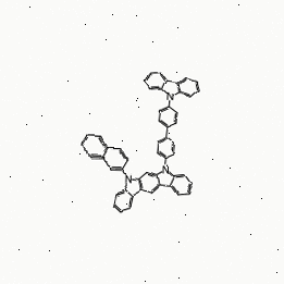 c1ccc2cc(-n3c4ccccc4c4cc5c6ccccc6n(-c6ccc(-c7ccc(-n8c9ccccc9c9ccccc98)cc7)cc6)c5cc43)ccc2c1